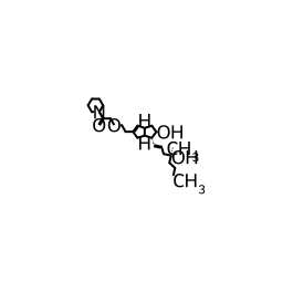 CCCC[C@](C)(O)C/C=C/[C@@H]1[C@H]2CC(CCOCC(=O)N3CCCCC3)=C[C@H]2C[C@H]1O